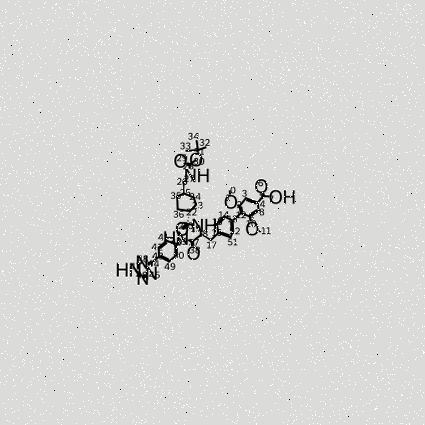 COc1cc(C(=O)O)cc(OC)c1-c1ccc(C[C@H](NC(=O)[C@H]2CC[C@H](CNC(=O)OC(C)(C)C)CC2)C(=O)Nc2ccc(-c3nn[nH]n3)cc2)cc1